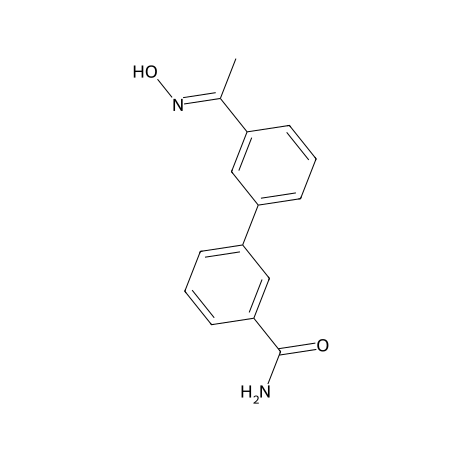 CC(=NO)c1cccc(-c2cccc(C(N)=O)c2)c1